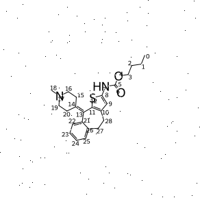 CCCCOC(=O)Nc1cc2c(s1)C(=C1CCN(C)CC1)c1ccccc1CC2